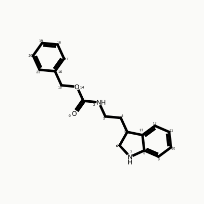 O=C(NCCC1CNc2ccccc21)OCc1ccccc1